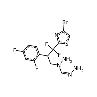 N/N=C\N(N)CC(c1ccc(F)cc1F)C(F)(F)c1nc(Br)cs1